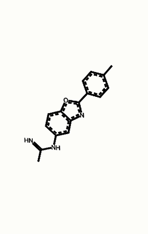 CC(=N)Nc1ccc2oc(-c3ccc(C)cc3)nc2c1